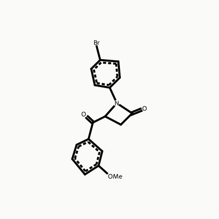 COc1cccc(C(=O)C2CC(=O)N2c2ccc(Br)cc2)c1